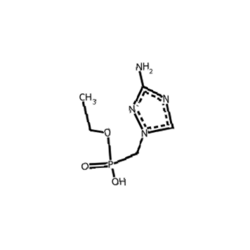 CCOP(=O)(O)Cn1cnc(N)n1